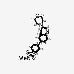 CNS(=O)(=O)c1ccc(-c2ccc3ncc(N4CCOCC4)nc3c2)cc1